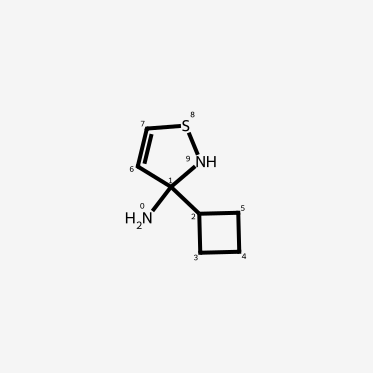 NC1(C2CCC2)C=CSN1